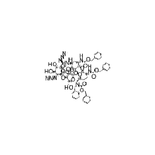 [N-]=[N+]=NC[C@@H]1O[C@H](O[C@H]2[C@@H](O)[C@H](O[C@@H]3[C@H]4OC(=O)N[C@@H]4C[C@H](NC(=O)OCc4ccccc4)[C@H]3O[C@H]3O[C@H](CN(Cc4ccccc4)C(=O)OCc4ccccc4)CC[C@H]3NC(=O)OCc3ccccc3)O[C@@H]2CO)[C@H](N=[N+]=[N-])[C@@H](O)[C@@H]1O